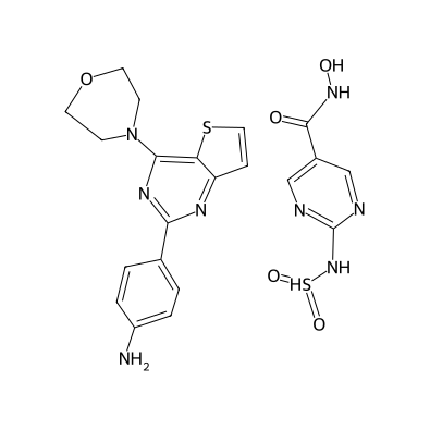 Nc1ccc(-c2nc(N3CCOCC3)c3sccc3n2)cc1.O=C(NO)c1cnc(N[SH](=O)=O)nc1